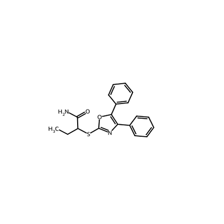 CCC(Sc1nc(-c2ccccc2)c(-c2ccccc2)o1)C(N)=O